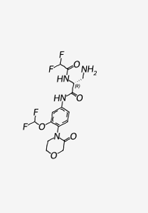 NC[C@@H](NC(=O)C(F)F)C(=O)Nc1ccc(N2CCOCC2=O)c(OC(F)F)c1